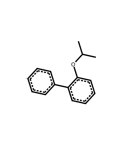 CC(C)Oc1ccccc1-c1cc[c]cc1